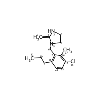 C=C1NCCN1Cc1c(CCC)ccc(Cl)c1C